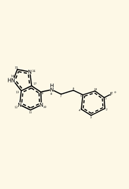 Fc1cccc(CCNc2ncnc3[nH]cnc23)c1